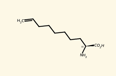 C=CCCCCCC[C@H](N)C(=O)O